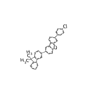 CC1(C)c2ccccc2-c2cc(-c3ccc4oc5cc(-c6ccc(Cl)cc6)ccc5c4c3)ccc21